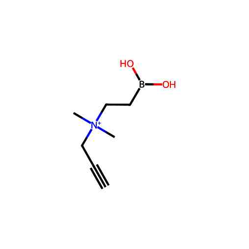 C#CC[N+](C)(C)CCB(O)O